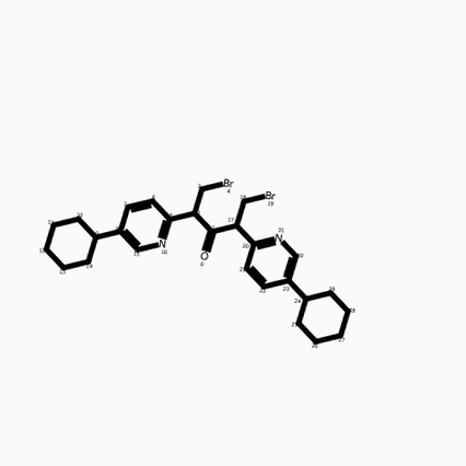 O=C(C(CBr)c1ccc(C2CCCCC2)cn1)C(CBr)c1ccc(C2CCCCC2)cn1